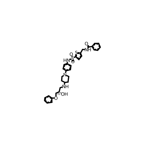 O=C(NCc1ccc(S(=O)(=O)Nc2ccc(N3CCC(NC[C@H](O)COc4ccccc4)CC3)cc2)s1)c1ccccc1